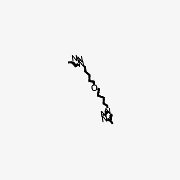 Cc1cn(CCCCCOCCCCCn2cc(C)nn2)nn1